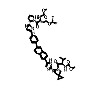 COC(=O)NC(C(=O)N1CC2(CC2)C[C@H]1c1ncc(-c2ccc3cc(-c4ccc(-c5cnc([C@@H]6CCCN6C(=O)[C@H](CCOC(F)F)NC(=O)OC)[nH]5)cc4)ccc3c2)[nH]1)C(C)C